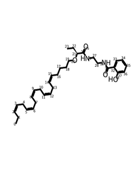 CC/C=C\C/C=C\C/C=C\C/C=C\C/C=C\CCCCO[C@@H](CC)C(=O)NCCNC(=O)c1ccccc1O